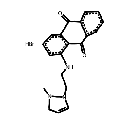 Br.CN1CC=CN1CCNc1cccc2c1C(=O)c1ccccc1C2=O